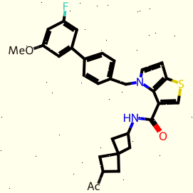 COc1cc(F)cc(-c2ccc(Cn3ccc4scc(C(=O)NC5CC6(C5)CC(C(C)=O)C6)c43)cc2)c1